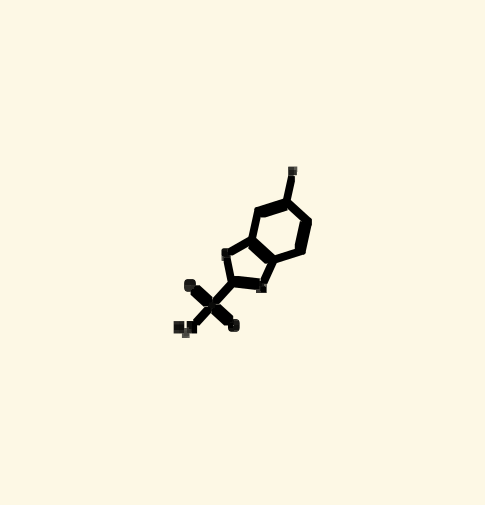 NS(=O)(=O)c1nc2ccc(F)cc2s1